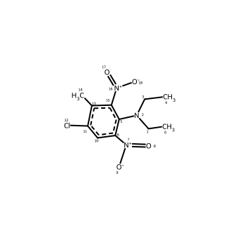 CCN(CC)c1c([N+](=O)[O-])cc(Cl)c(C)c1[N+](=O)[O-]